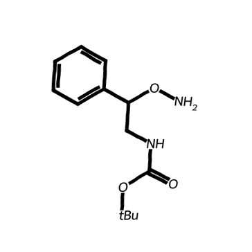 CC(C)(C)OC(=O)NCC(ON)c1ccccc1